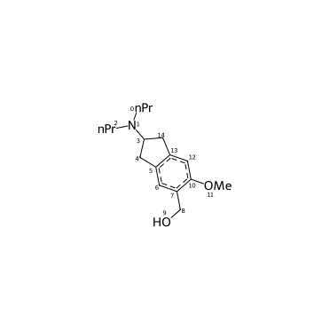 CCCN(CCC)C1Cc2cc(CO)c(OC)cc2C1